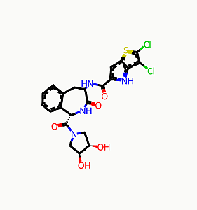 O=C(N[C@@H]1Cc2ccccc2[C@@H](C(=O)N2C[C@@H](O)[C@@H](O)C2)NC1=O)c1cc2sc(Cl)c(Cl)c2[nH]1